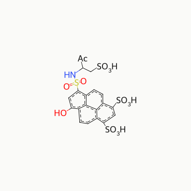 CC(=O)C(CS(=O)(=O)O)NS(=O)(=O)c1cc(O)c2ccc3c(S(=O)(=O)O)cc(S(=O)(=O)O)c4ccc1c2c34